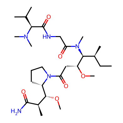 CC[C@H](C)[C@@H]([C@@H](CC(=O)N1CCC[C@H]1[C@H](OC)[C@@H](C)C(N)=O)OC)N(C)C(=O)CNC(=O)[C@H](C(C)C)N(C)C